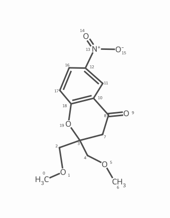 COCC1(COC)CC(=O)c2cc([N+](=O)[O-])ccc2O1